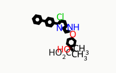 CC(C)(C(=O)O)[C@]1(O)CC[C@H](Oc2cc3nc(-c4ccc(-c5ccccc5)cc4)c(Cl)cc3[nH]2)CC1